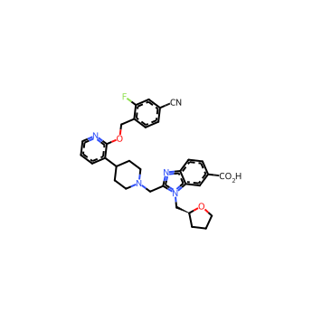 N#Cc1ccc(COc2ncccc2C2CCN(Cc3nc4ccc(C(=O)O)cc4n3C[C@@H]3CCCO3)CC2)c(F)c1